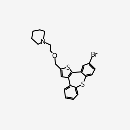 Brc1ccc2c(c1)-c1sc(COCCN3CCCCC3)cc1-c1ccccc1S2